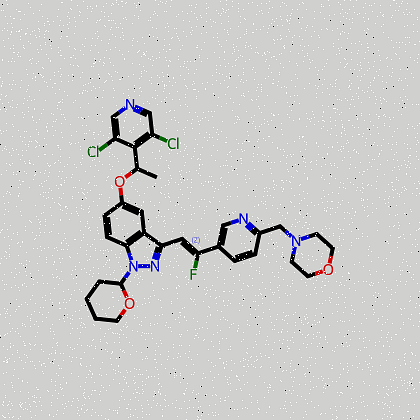 CC(Oc1ccc2c(c1)c(/C=C(\F)c1ccc(CN3CCOCC3)nc1)nn2C1CCCCO1)c1c(Cl)cncc1Cl